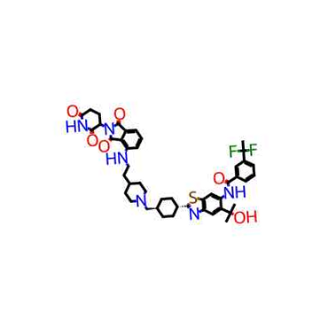 CC(C)(O)c1cc2nc([C@H]3CC[C@H](CN4CCC(CCNc5cccc6c5C(=O)N(C5CCC(=O)NC5=O)C6=O)CC4)CC3)sc2cc1NC(=O)c1cccc(C(C)(F)F)c1